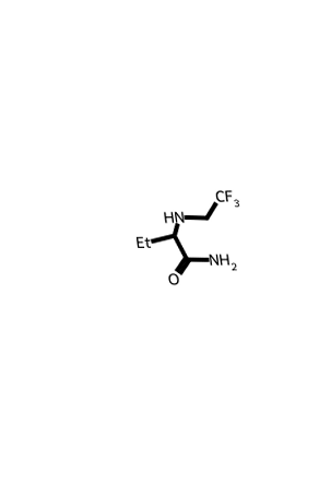 CCC(NCC(F)(F)F)C(N)=O